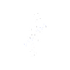 c1ccc(-c2cc(-n3c4ccccc4n(-c4cccnc4)c4cc5c(cc43)oc3cc4c6cccc7cccc(c8cccc(c35)c84)c76)c3ccc4c(-c5ccccc5)cc(-n5c6ccccc6n(-c6cccnc6)c6cc7c(cc65)oc5cc6c8cccc9cccc(c%10cccc(c57)c%106)c98)c5ccc2c3c45)cc1